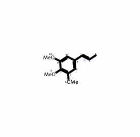 C/C=C/c1cc(OC)c(OC)c(OC)c1